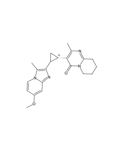 COc1ccn2c(C)c(C3C[C@@H]3c3c(C)nc4n(c3=O)CCCC4)nc2c1